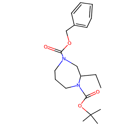 CCC1CN(C(=O)OCc2ccccc2)CCCN1C(=O)OC(C)(C)C